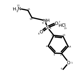 COc1ccc(S(=O)(=O)NCCN)cc1.Cl